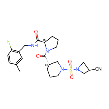 Cc1ccc(F)c(CNC(=O)[C@H]2CCCN2C(=O)[C@H]2CCCN(S(=O)(=O)N3CC(C#N)C3)C2)c1